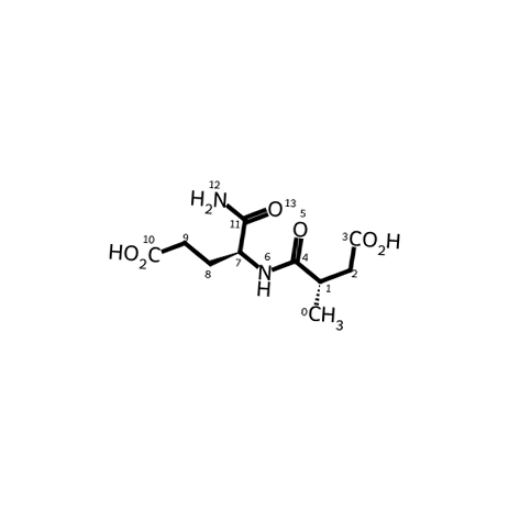 C[C@@H](CC(=O)O)C(=O)N[C@@H](CCC(=O)O)C(N)=O